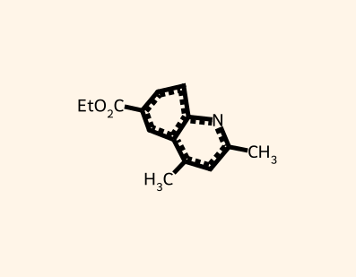 CCOC(=O)c1ccc2nc(C)cc(C)c2c1